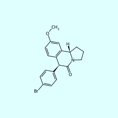 COc1ccc2c(c1)[C@@H]1CCCN1C(=O)[C@H]2c1ccc(Br)cc1